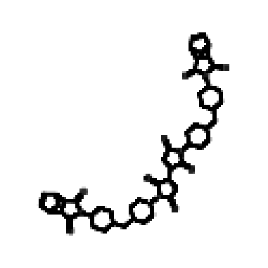 O=C1CC(C2CC(=O)N(C3CCC(CC4CCC(N5C(=O)C6C7C=CC(C7)C6C5=O)CC4)CC3)C2=O)C(=O)N1C1CCC(CC2CCC(N3C(=O)C4C5C=CC(C5)C4C3=O)CC2)CC1